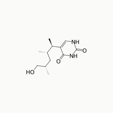 C[C@H](CO)C[C@H](C)[C@@H](C)c1c[nH]c(=O)[nH]c1=O